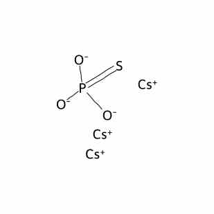 [Cs+].[Cs+].[Cs+].[O-]P([O-])([O-])=S